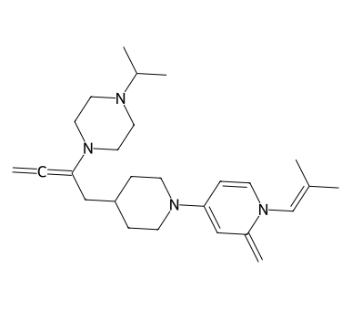 C=C=C(CC1CCN(C2=CC(=C)N(C=C(C)C)C=C2)CC1)N1CCN(C(C)C)CC1